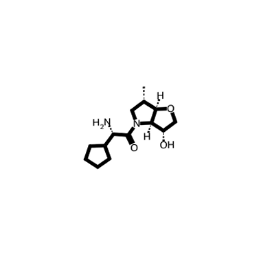 C[C@H]1CN(C(=O)[C@@H](N)C2CCCC2)[C@H]2[C@@H]1OC[C@@H]2O